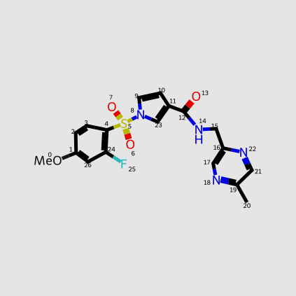 COc1ccc(S(=O)(=O)n2ccc(C(=O)NCc3cnc(C)cn3)c2)c(F)c1